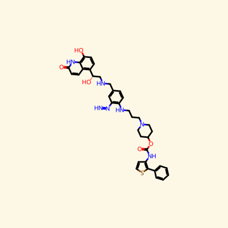 N=Nc1cc(CNC[C@H](O)c2ccc(O)c3[nH]c(=O)ccc23)ccc1NCCCN1CCC(OC(=O)Nc2ccsc2-c2ccccc2)CC1